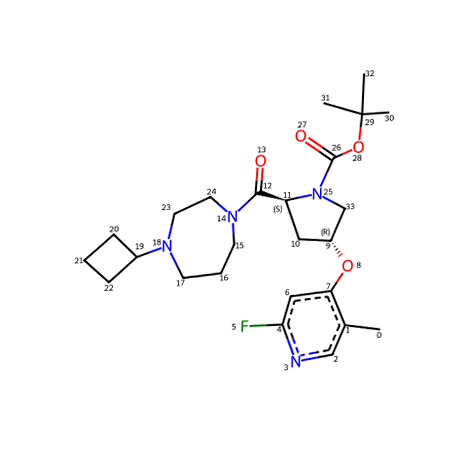 Cc1cnc(F)cc1O[C@@H]1C[C@@H](C(=O)N2CCCN(C3CCC3)CC2)N(C(=O)OC(C)(C)C)C1